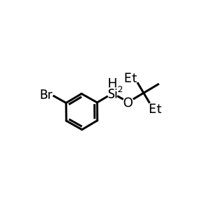 CCC(C)(CC)O[SiH2]c1cccc(Br)c1